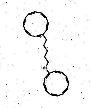 C1=C\C=C/C=C\C(CCCCCNC2=C/C=C\C=C/C=C\C=C/C=C\2)=C/C=C\C=C/1